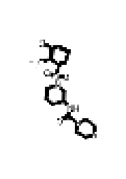 Cc1c(Cl)cccc1S(=O)(=O)N1CCCC(NC(=O)N2CCSCC2)C1